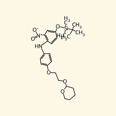 CC(C)(C)[Si](C)(C)Oc1ccc(Nc2ccc(OCCOC3CCCCO3)cc2)c([N+](=O)[O-])c1